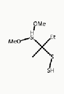 CCC(C)(SS)[SiH](OC)OC